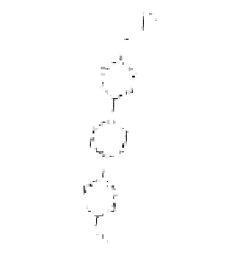 COCc1ccc(-c2ccc(-c3ccc(C)cc3)cc2)cc1